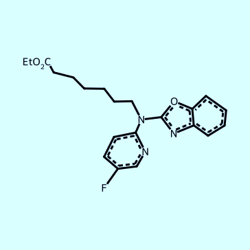 CCOC(=O)CCCCCCN(c1ccc(F)cn1)c1nc2ccccc2o1